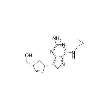 Nc1nc(NC2CC2)n2ncc([C@@H]3C=C[C@H](CO)C3)c2n1